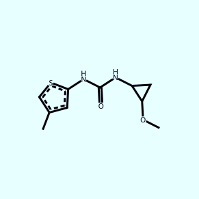 COC1CC1NC(=O)Nc1cc(C)cs1